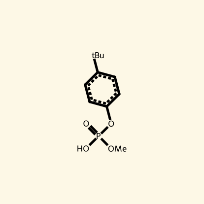 COP(=O)(O)Oc1ccc(C(C)(C)C)cc1